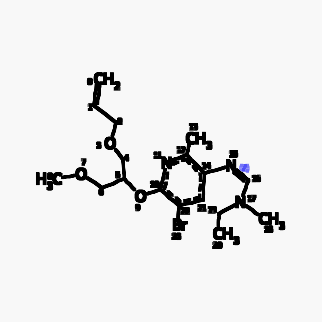 C=CCOCC(COC)Oc1nc(C)c(/N=C\N(C)CC)cc1Br